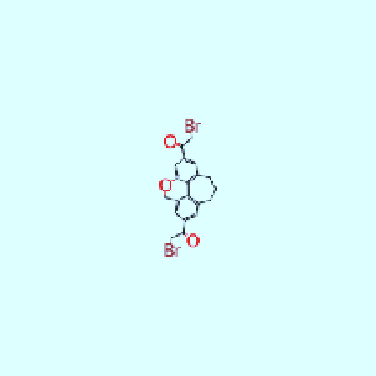 O=C(CBr)c1cc2c3c(c1)COc1cc(C(=O)CBr)cc(c1-3)CCC2